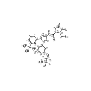 BC(P)(P)c1nccc(-n2nc(NC(=O)[C@H]3CNC(=C)C3C=S)cc2-c2cc(C)cc(OC(C)(C)C(B)(C)C)c2)n1